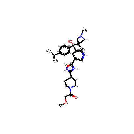 COCC(=O)N1CCC(c2noc(-c3cncc([C@@](O)(c4ccc(C(C)C)cc4)C4(C)CN(C)C4)c3)n2)CC1